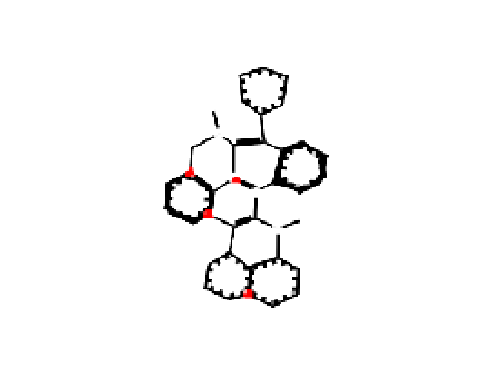 CN(Cc1cccc(C(=C(N(C)c2ccccc2)N(C)c2ccccc2)c2ccccc2)c1)C(=C(c1ccccc1)c1ccccc1)N(C)c1ccccc1